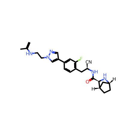 C=C(C)NCCn1cc(-c2ccc(C[C@@H](C#N)NC(=O)[C@H]3N[C@@H]4CC[C@H]3C4)c(F)c2)cn1